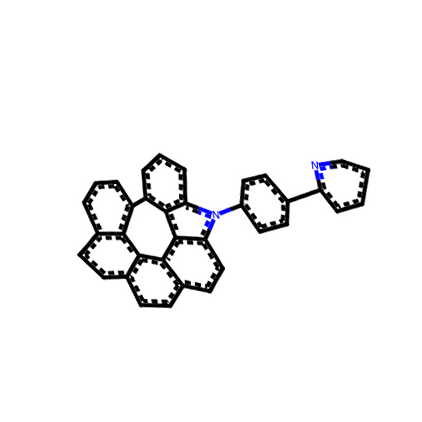 c1ccc(-c2ccc(-n3c4cccc5c4c4c6c(ccc7ccc8cccc-5c8c76)ccc43)cc2)nc1